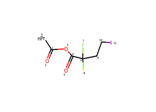 CCCC(=O)OC(=O)C(F)(F)CCI